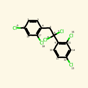 Clc1ccc(CC(Cl)(Cl)c2ccc(Cl)cc2Cl)c(Cl)c1